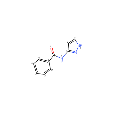 O=C(Nc1cc[nH]n1)c1ccccc1